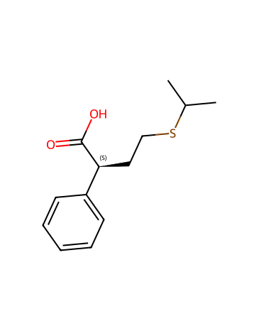 CC(C)SCC[C@H](C(=O)O)c1ccccc1